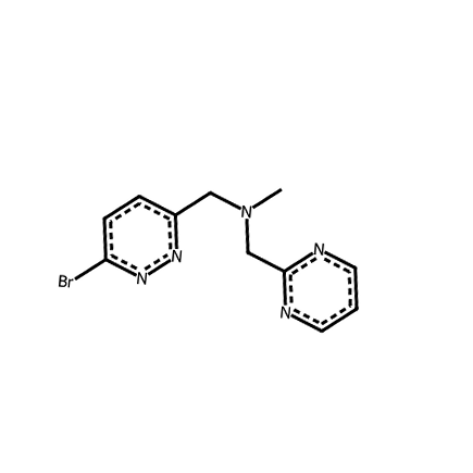 CN(Cc1ccc(Br)nn1)Cc1ncccn1